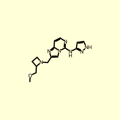 COCC1CCN1Cc1cn2c(Nc3cc[nH]n3)nccc2n1